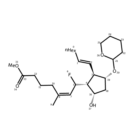 CCCCCC/C=C/[C@@H]1[C@@H](C(F)/C=C(/C)CCCC(=O)OC)[C@@H](O)C[C@H]1OC1CCCCO1